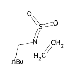 C=C.CCCCCN=S(=O)=O